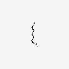 C=CCOC=CF